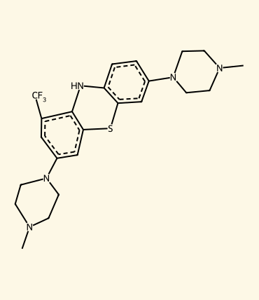 CN1CCN(c2ccc3c(c2)Sc2cc(N4CCN(C)CC4)cc(C(F)(F)F)c2N3)CC1